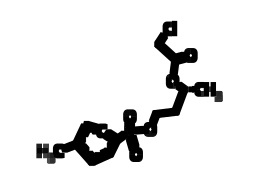 Cc1ccc(S(=O)(=O)OCC[C@@H](C)OC(=O)CCl)cc1